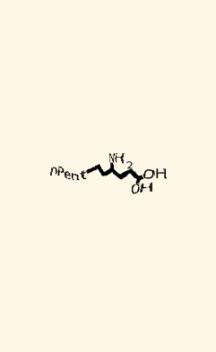 CCCCCCCC(N)CCC(O)O